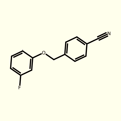 N#Cc1ccc(COc2[c]ccc(F)c2)cc1